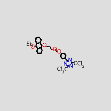 CCOc1c2ccccc2c(OCCCOCOc2ccc(-c3nc(C(Cl)(Cl)Cl)nc(C(Cl)(Cl)Cl)n3)cc2)c2ccccc12